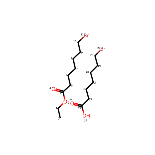 CCOC(=O)CCCCCCBr.O=C(O)CCCCCCBr